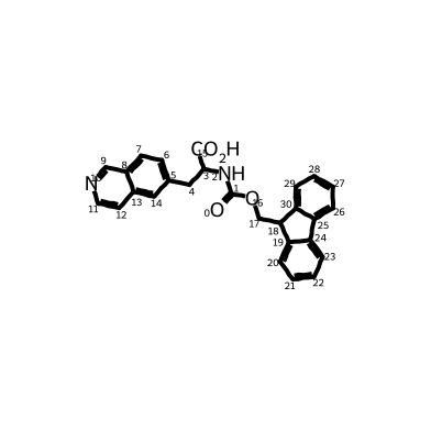 O=C(NC(Cc1ccc2cnccc2c1)C(=O)O)OCC1c2ccccc2-c2ccccc21